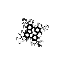 CC(C)[Si](c1c(F)c(F)c([B-](c2c(F)c(F)c([Si](C(C)C)(C(C)C)C(C)C)c(F)c2F)(c2c(F)c(F)c([Si](C(C)C)(C(C)C)C(C)C)c(F)c2F)c2c(F)c(F)c([Si](C(C)C)(C(C)C)C(C)C)c(F)c2F)c(F)c1F)(C(C)C)C(C)C.[Li+]